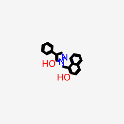 Oc1ccc2ccccc2c1Cn1ncc(-c2ccccc2)c1O